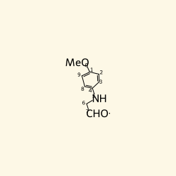 COc1ccc(NC[C]=O)cc1